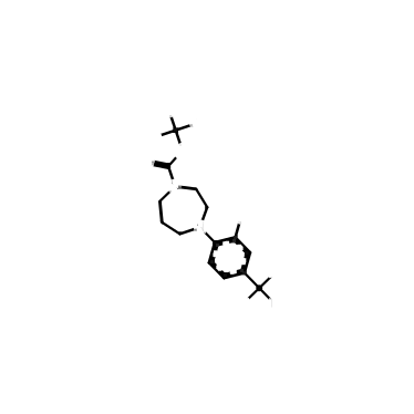 CC(C)(C)OC(=O)N1CCCN(c2ccc(C(F)(F)F)cc2O)CC1